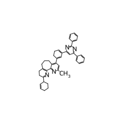 Cc1cc(C2=CC(c3cc(-c4ccccc4)nc(-c4ccccc4)n3)=CCC2)c2c(n1)C1=C(CCC2)CCC(C2C=CCCC2)=N1